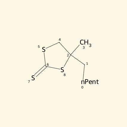 CCCCCCC1(C)CSC(=S)S1